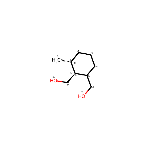 C[C@@H]1CCCC(CO)[C@H]1CO